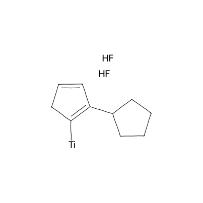 F.F.[Ti][C]1=C(C2CCCC2)C=CC1